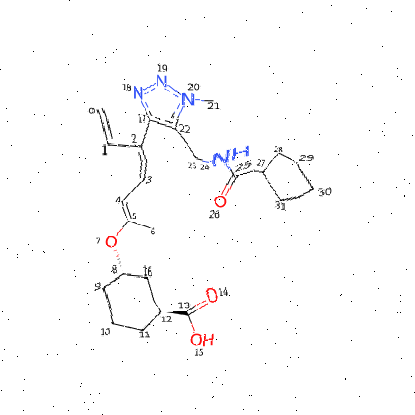 C=C/C(=C\C=C(/C)O[C@H]1CCC[C@H](C(=O)O)C1)c1nnn(C)c1CNC(=O)C1CCCC1